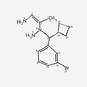 C/C(=C/N)N(N)C(c1cccc(Br)c1)C1CCC1